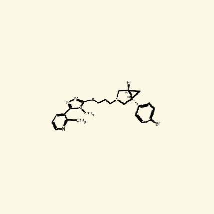 Cc1ncccc1-c1nnc(SCCCN2C[C@@H]3C[C@@]3(c3ccc(Br)cc3)C2)n1C